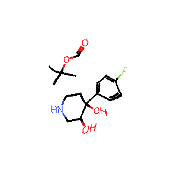 CC(C)(C)OC=O.OC1CNCCC1(O)c1ccc(F)cc1